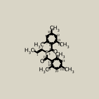 CC=CP(C(=O)c1c(C)cc(C)cc1C)C(=O)c1c(C)cc(C)cc1C